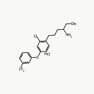 Cl.NC(CO)CCCc1ccc(Sc2cccc(C(F)(F)F)c2)cc1Cl